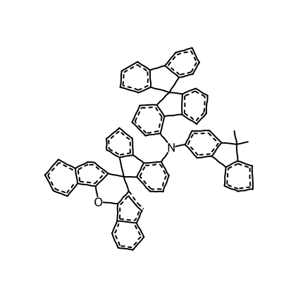 CC1(C)c2ccccc2-c2cc(N(c3cccc4c3-c3ccccc3C43c4ccccc4-c4ccccc43)c3cccc4c3-c3ccccc3C43c4ccc5ccccc5c4Oc4c3ccc3ccccc43)ccc21